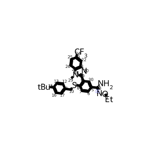 CCO/N=C(\N)c1ccc(SCc2ccc(C(C)(C)C)cc2)c(-c2nc3cc(C(F)(F)F)ccc3n2C)c1